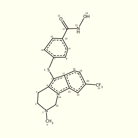 CN1CCc2c(Sc3ccc(C(=O)NO)cc3)c3ccc(C(F)(F)F)cc3n2C1